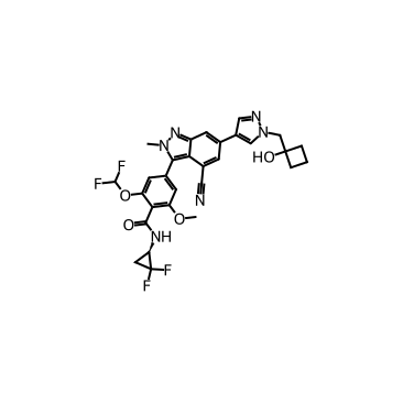 COc1cc(-c2c3c(C#N)cc(-c4cnn(CC5(O)CCC5)c4)cc3nn2C)cc(OC(F)F)c1C(=O)N[C@@H]1CC1(F)F